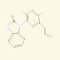 CCCc1cc(-n2c(=O)[nH]c3ccccc32)c(O)cc1O